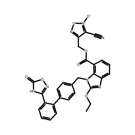 CCOc1nc2cccc(C(=O)OCc3no[n+]([O-])c3C#N)c2n1Cc1ccc(-c2ccccc2-c2noc(=O)[nH]2)cc1